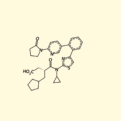 O=C(O)C[C@@H](CC1CCCC1)C(=O)N(c1nc(-c2ccccc2-c2ccc(N3CCCC3=O)nc2)cs1)C1CC1